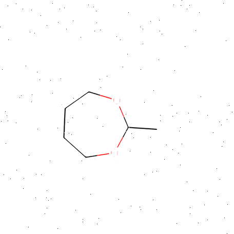 CC1OC[CH]CCO1